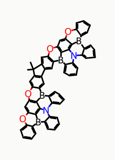 CC1(C)c2cc3c(cc2-c2cc4c(cc21)Oc1cc2c5c6c1B4c1ccccc1N6c1ccccc1B5c1ccccc1O2)B1c2ccccc2N2c4ccccc4B4c5ccccc5Oc5cc(c1c2c54)O3